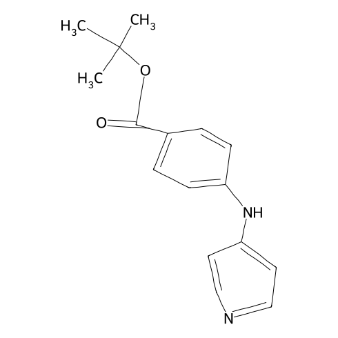 CC(C)(C)OC(=O)c1ccc(Nc2ccncc2)cc1